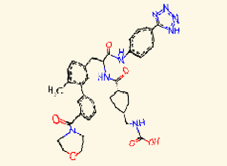 Cc1ccc(C[C@H](NC(=O)[C@H]2CC[C@H](CNC(=O)O)CC2)C(=O)Nc2ccc(-c3nnn[nH]3)cc2)cc1-c1cccc(C(=O)N2CCOCC2)c1